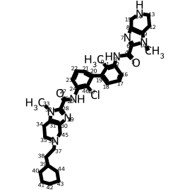 Cc1c(NC(=O)c2nc3c(n2C)CCNC3)cccc1-c1cccc(NC(=O)c2nc3c(n2C)CCN(CCC2CCCCC2)C3)c1Cl